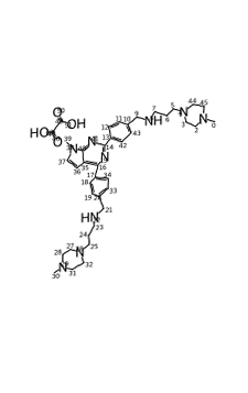 CN1CCN(CCCNCc2ccc(-c3nc(-c4ccc(CNCCCN5CCN(C)CC5)cc4)c4ccn(C)c4n3)cc2)CC1.O=C(O)C(=O)O